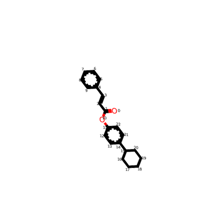 O=C(C=Cc1ccccc1)Oc1ccc(C2CCCCC2)cc1